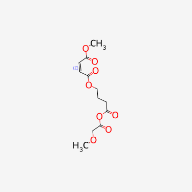 COCC(=O)OC(=O)CCCOC(=O)/C=C\C(=O)OC